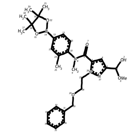 COC(O)c1cc(C(=O)N(C)c2ccc(B3OC(C)(C)C(C)(C)O3)cc2C)n(CCOCc2ccccc2)n1